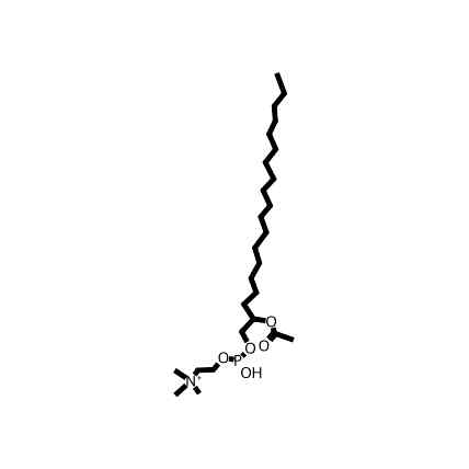 CCCCCCCCCCCCCCCCCC(COP(O)OCC[N+](C)(C)C)OC(C)=O